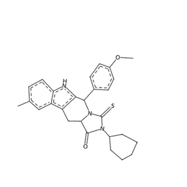 COc1ccc(C2c3[nH]c4ccc(C)cc4c3CC3C(=O)N(C4CCCCC4)C(=S)N32)cc1